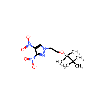 CC(C)(C)[Si](C)(C)OCCn1cc([N+](=O)[O-])c([N+](=O)[O-])n1